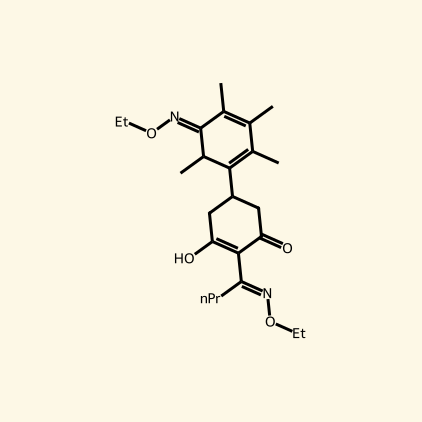 CCCC(=NOCC)C1=C(O)CC(C2=C(C)C(C)=C(C)C(=NOCC)C2C)CC1=O